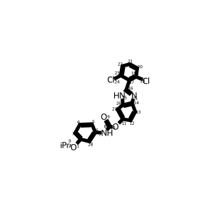 CC(C)Oc1cccc(NC(=O)Oc2ccc3nc(-c4c(Cl)cccc4Cl)[nH]c3c2)c1